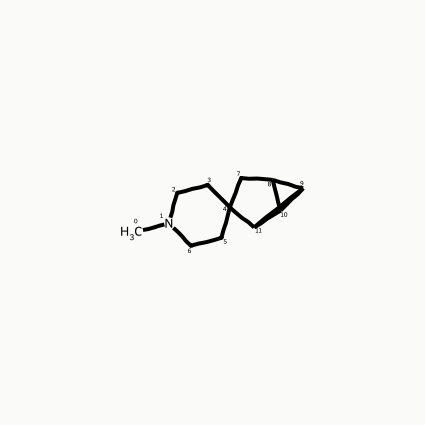 CN1CCC2(CC1)CC1C3C1C32